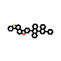 C1=Cc2sc3ccc4c(ccc5oc6cc(-c7c8ccccc8c(-c8ccc(-c9ccccc9)c9ccccc89)c8ccccc78)ccc6c54)c3c2CC1